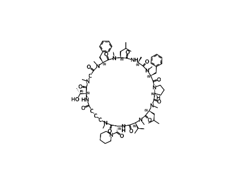 CC(C)C[C@H]1C(=O)N[C@@H](C)C(=O)N(C)[C@@H](Cc2ccccc2)C(=O)N2CCC[C@H]2C(=O)N(C)[C@@H](CC(C)C)C(=O)N(C)[C@@H](C(C)C)C(=O)N[C@H](C(=O)N2CCCCC2)C(=O)N(C)CCCC(=O)N[C@@H]([C@@H](C)O)C(=O)N(C)CC(=O)N(C)[C@@H](Cc2ccccc2)C(=O)N1C